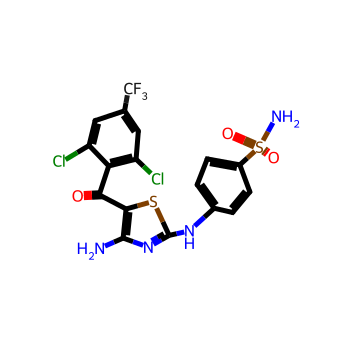 Nc1nc(Nc2ccc(S(N)(=O)=O)cc2)sc1C(=O)c1c(Cl)cc(C(F)(F)F)cc1Cl